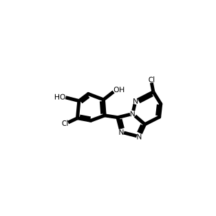 Oc1cc(O)c(-c2nnc3ccc(Cl)nn23)cc1Cl